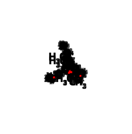 Cc1cc(-c2ccc(C3C4CC5CC(C4)CC3C5)cc2)cc(C)c1N(c1ccc2c(c1)C(C)(C)c1cc(-c3ccccc3)ccc1-2)c1ccc2c(c1)C1(c3ccccc3-2)c2ccccc2C(C)(C)c2ccccc21